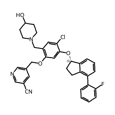 N#Cc1cncc(COc2cc(O[C@H]3CCc4c(-c5ccccc5F)cccc43)c(Cl)cc2CN2CCC(O)CC2)c1